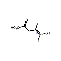 C/C(CC(=O)C(=O)O)=[P+](/[O-])O